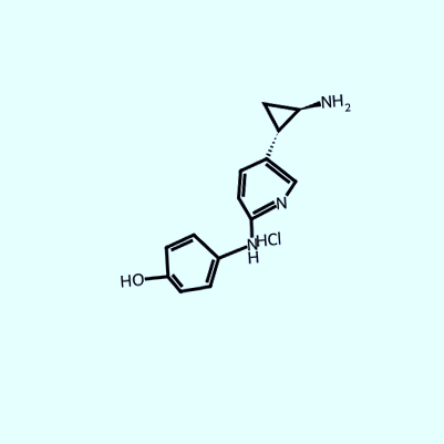 Cl.N[C@@H]1C[C@H]1c1ccc(Nc2ccc(O)cc2)nc1